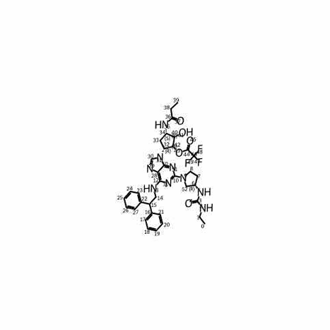 CCNC(=O)N[C@@H]1CCN(c2nc(NCC(c3ccccc3)c3ccccc3)c3ncn([C@@H]4C[C@H](NC(=O)CC)[C@@H](O)[C@H]4OC(=O)C(F)(F)F)c3n2)C1